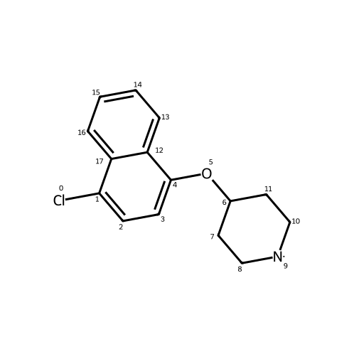 Clc1ccc(OC2CC[N]CC2)c2ccccc12